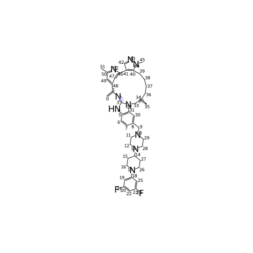 C=C1/N=C2\Nc3ccc(CN4CCN(C5CCN(c6cc(F)cc(F)c6)CC5)CC4)cc3N2C[C@H](C)CCCCc2c(cnn2C)-c2cc1cc(C)n2